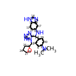 CN(C)c1ccc(C(Nc2ccc3[nH]cnc3c2)c2nnnn2CC2CCCO2)cc1